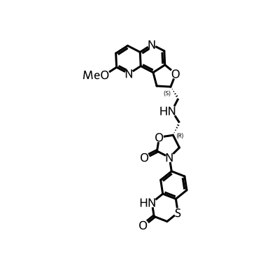 COc1ccc2ncc3c(c2n1)C[C@@H](CNC[C@@H]1CN(c2ccc4c(c2)NC(=O)CS4)C(=O)O1)O3